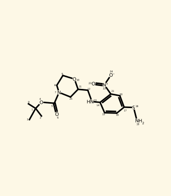 CC(C)(C)OC(=O)N1CCOC(CNc2ccc(SN)cc2[N+](=O)[O-])C1